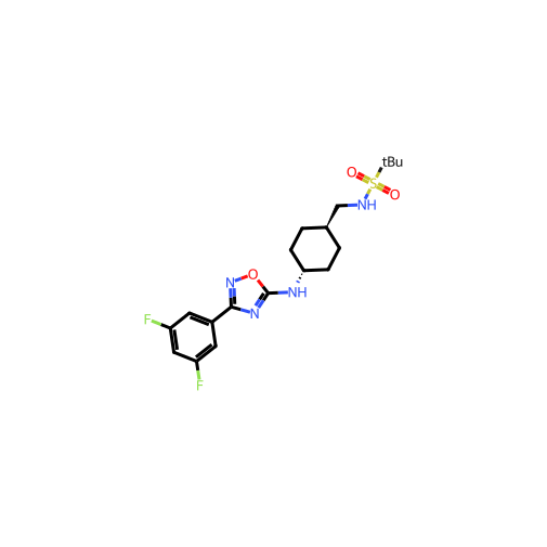 CC(C)(C)S(=O)(=O)NC[C@H]1CC[C@H](Nc2nc(-c3cc(F)cc(F)c3)no2)CC1